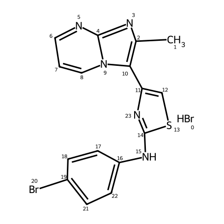 Br.Cc1nc2ncccn2c1-c1csc(Nc2ccc(Br)cc2)n1